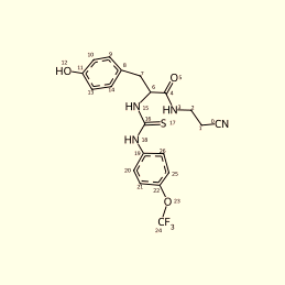 N#CCCNC(=O)C(Cc1ccc(O)cc1)NC(=S)Nc1ccc(OC(F)(F)F)cc1